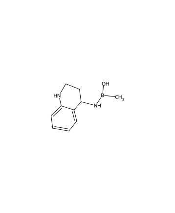 CB(O)NC1CCNc2ccccc21